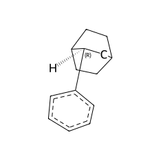 c1ccc([C@@H]2CC3CCC2CC3)cc1